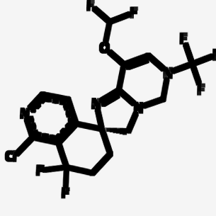 FC(F)OC1=CN(C(F)(F)F)CN2C[C@@]3(CCC(F)(F)c4c3ccnc4Cl)N=C12